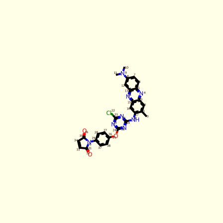 Cc1cc2nc3ccc(N(C)C)cc3nc2cc1Nc1nc(Cl)nc(Oc2ccc(N3C(=O)C=CC3=O)cc2)n1